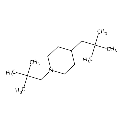 CC(C)(C)CC1CCN(CC(C)(C)C)CC1